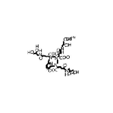 O=C(CCC(C(=O)[O-])N1CCN(C(CCC(=O)NCC(O)CO)C(=O)[O-])Cc2cccc(n2)CN(C(CCC(=O)NCC(O)CO)C(=O)[O-])CC1)NCC(O)CO.[Gd+3]